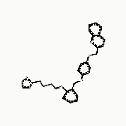 c1ccc(SCCCCn2ncnn2)c(COc2ccc(OCc3ccc4ccccc4n3)cc2)c1